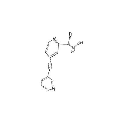 O=C(NO)c1cc(C#Cc2cccnc2)ccn1